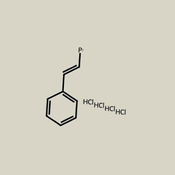 Cl.Cl.Cl.Cl.[P]C=Cc1ccccc1